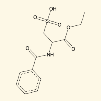 CCOC(=O)C(CS(=O)(=O)O)NC(=O)c1ccccc1